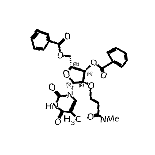 CNC(=O)CCO[C@@H]1[C@H](OC(=O)c2ccccc2)[C@@H](COC(=O)c2ccccc2)O[C@H]1n1cc(C)c(=O)[nH]c1=O